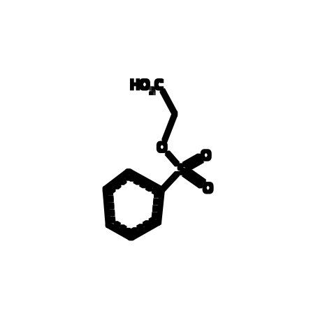 O=C(O)COS(=O)(=O)c1ccccc1